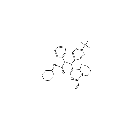 C=CC(=O)N1CCCCC1C(=O)N(c1ccc(C(C)(C)C)cc1)C(C(=O)NC1CCCCC1)c1cccnc1